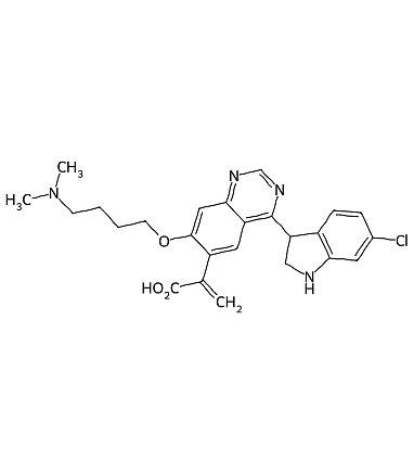 C=C(C(=O)O)c1cc2c(C3CNc4cc(Cl)ccc43)ncnc2cc1OCCCCN(C)C